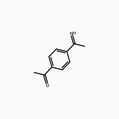 CC(=N)c1ccc(C(C)=O)cc1